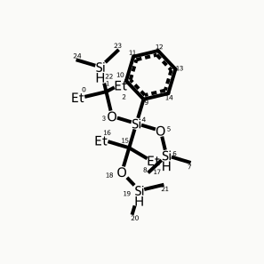 CCC(CC)(O[Si](O[SiH](C)C)(c1ccccc1)C(CC)(CC)O[SiH](C)C)[SiH](C)C